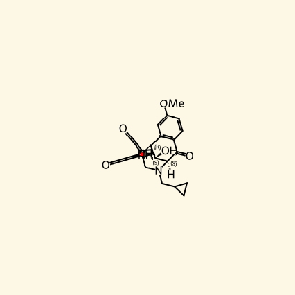 COc1ccc2c(c1)[C@]13CCN(CC4CC4)[C@H](C2=O)[C@]1(O)CCNC(=O)NC(=O)C3